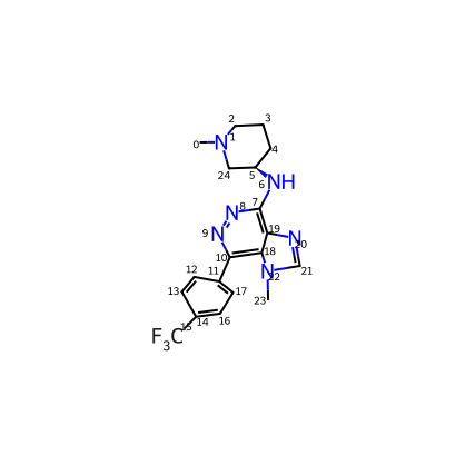 CN1CCC[C@@H](Nc2nnc(-c3ccc(C(F)(F)F)cc3)c3c2ncn3C)C1